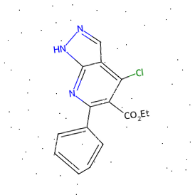 CCOC(=O)c1c(-c2ccccc2)nc2[nH]ncc2c1Cl